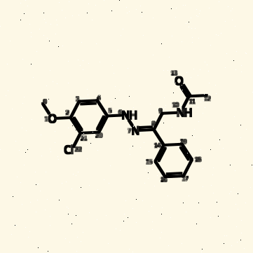 COc1ccc(NN=C(CNC(C)=O)c2ccccc2)cc1Cl